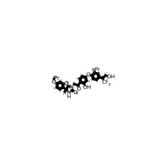 CCCc1cc(C(CO)C(F)(F)F)ccc1Oc1ccc(C(=O)CN2C(=O)NC(C)(c3ccc(OC(C)C)cc3)C2=O)c(O)c1